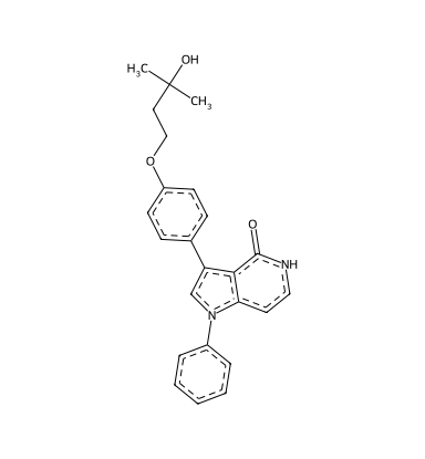 CC(C)(O)CCOc1ccc(-c2cn(-c3ccccc3)c3cc[nH]c(=O)c23)cc1